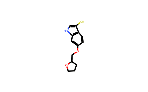 Sc1c[nH]c2cc(OCC3CCCO3)ccc12